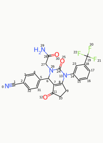 N#Cc1ccc(C2C3=C(CCC3=O)N(c3cccc(C(F)(F)F)c3)C(=O)N2CC(N)=O)cc1